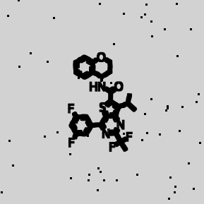 CC(C)c1c(C(=O)N[C@H]2CCOc3ccccc32)sc2c(-c3cc(F)cc(F)c3)nc(C(C)(F)F)nc12